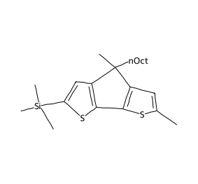 CCCCCCCCC1(C)c2cc(C)sc2-c2sc([Si](C)(C)C)cc21